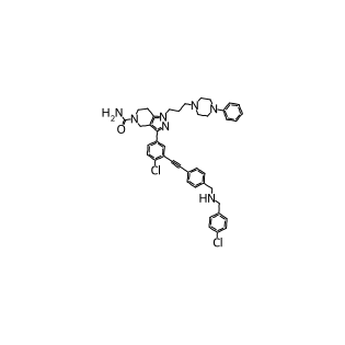 NC(=O)N1CCc2c(c(-c3ccc(Cl)c(C#Cc4ccc(CNCc5ccc(Cl)cc5)cc4)c3)nn2CCCN2CCN(c3ccccc3)CC2)C1